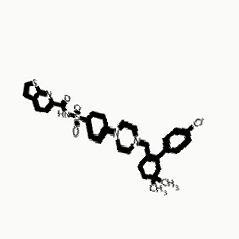 CC1(C)CCC(CN2CCN(c3ccc(S(=O)(=O)NC(=O)c4ccc5ccsc5n4)cc3)CC2)=C(c2ccc(Cl)cc2)C1